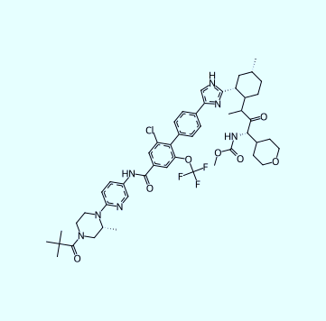 COC(=O)N[C@H](C(=O)C(C)C1CC[C@@H](C)C[C@H]1c1nc(-c2ccc(-c3c(Cl)cc(C(=O)Nc4ccc(N5CCN(C(=O)C(C)(C)C)C[C@H]5C)nc4)cc3OC(F)(F)F)cc2)c[nH]1)C1CCOCC1